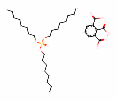 CCCCCCCCOP(=O)(OCCCCCCCC)OCCCCCCCC.O=C(O)c1cccc(C(=O)O)c1C(=O)O